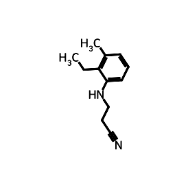 CCc1c(C)cccc1NCCC#N